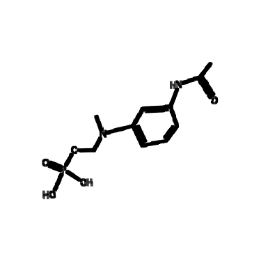 CC(=O)Nc1cccc(N(C)COP(=O)(O)O)c1